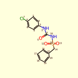 O=C(Nc1ccc(Cl)cc1)NS(=O)(=O)Cc1ccccc1